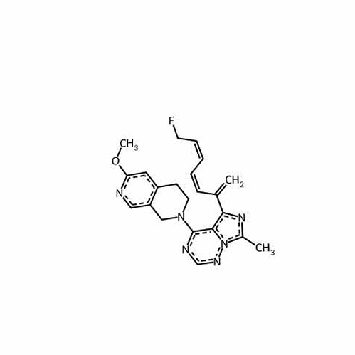 C=C(/C=C\C=C/CF)c1nc(C)n2ncnc(N3CCc4cc(OC)ncc4C3)c12